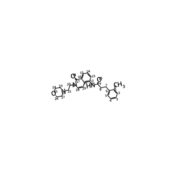 Cc1ccccc1CCC(=O)Nc1cccc2c(=O)n(CCN3CCOCC3)ccc12